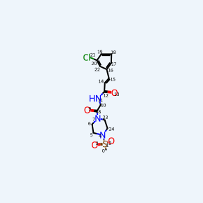 CS(=O)(=O)N1CCN(C(=O)CNC(=O)/C=C/c2cccc(Cl)c2)CC1